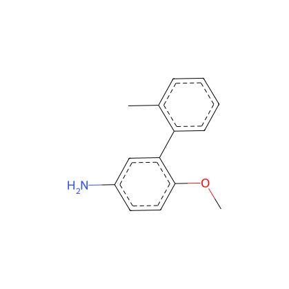 COc1ccc(N)cc1-c1ccccc1C